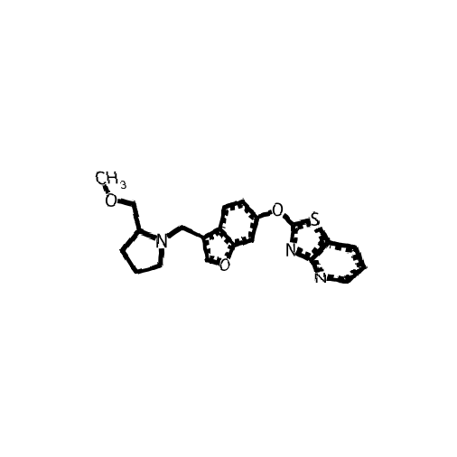 COCC1CCCN1Cc1coc2cc(Oc3nc4ncccc4s3)ccc12